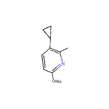 COc1ccc(C2CC2)c(C)n1